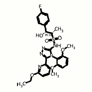 CCOc1cccc(-c2nnc(NS(=O)(=O)[C@@H](C)[C@H](O)c3ccc(F)cc3)n2-c2c(OC)cccc2OC)n1